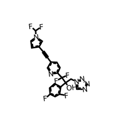 OC(Cn1cnnn1)(c1ccc(F)cc1F)C(F)(F)c1ccc(C#Cc2ccn(C(F)F)c2)cn1